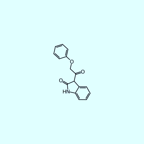 O=C(COc1ccccc1)C1C(=O)Nc2ccccc21